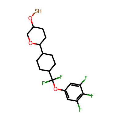 Fc1cc(OC(F)(F)C2CCC(C3CCC(OS)CO3)CC2)cc(F)c1F